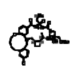 CC[C@H](C)CS(=O)(=NC(=O)c1ccc2c(c1)N(C[C@@H]1CC[C@H]1[C@H](C)OC)Cc1ccc(Cl)cc1CCCCO2)NC(=O)N1CC(O)(COC)C1